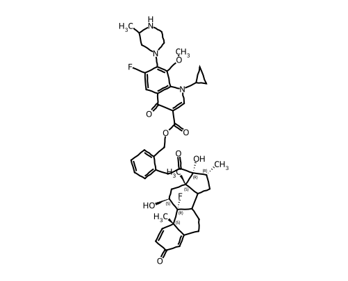 COc1c(N2CCNC(C)C2)c(F)cc2c(=O)c(C(=O)OCc3ccccc3CC(=O)[C@@]3(O)[C@H](C)CC4C5CCC6=CC(=O)C=C[C@]6(C)[C@@]5(F)[C@@H](O)C[C@@]43C)cn(C3CC3)c12